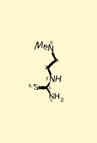 CNCCNC(N)=S